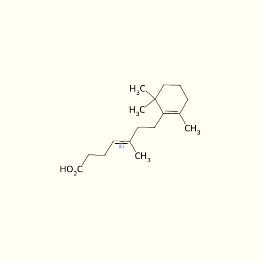 CC1=C(CC/C(C)=C/CCC(=O)O)C(C)(C)CCC1